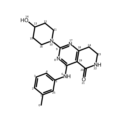 Cc1cccc(Nc2nc(N3CCC(O)CC3)nc3c2C(=O)NCC3)c1